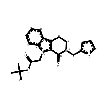 CC(C)(C)OC(=O)Cn1c2c(c3ccccc31)CCN(Cc1ccco1)C2=S